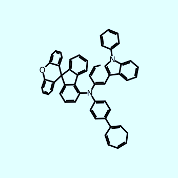 C/C=C\C(=C/c1cn(-c2ccccc2)c2ccccc12)N(c1ccc(C2=CCC=CC=C2)cc1)c1cccc2c1-c1ccccc1C21c2ccccc2Oc2ccccc21